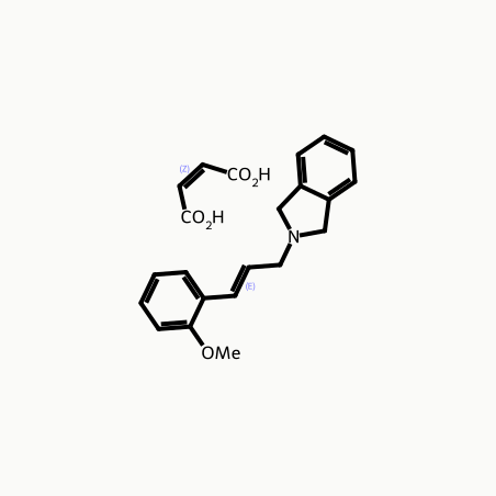 COc1ccccc1/C=C/CN1Cc2ccccc2C1.O=C(O)/C=C\C(=O)O